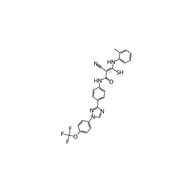 Cc1ccccc1N/C(S)=C(\C#N)C(=O)Nc1ccc(-c2ncn(-c3ccc(OC(F)(F)F)cc3)n2)cc1